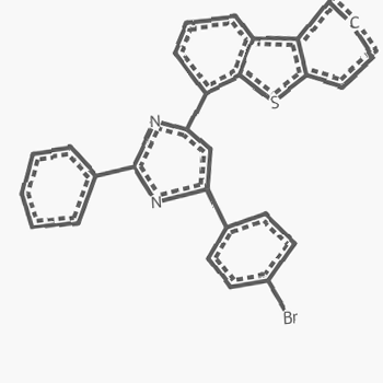 Brc1ccc(-c2cc(-c3cccc4c3sc3ccccc34)nc(-c3ccccc3)n2)cc1